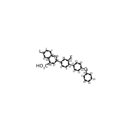 Cc1ccc2nc(-c3ccc(-c4ccc(Oc5ccccc5)cc4)c(F)c3)cc(C(=O)O)c2c1